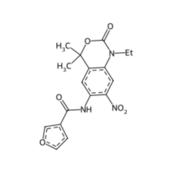 CCN1C(=O)OC(C)(C)c2cc(NC(=O)c3ccoc3)c([N+](=O)[O-])cc21